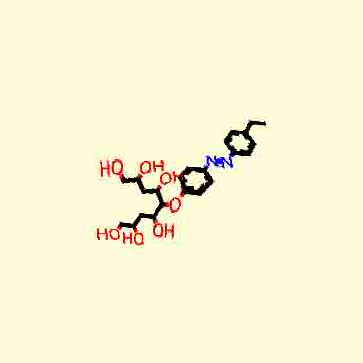 CCc1ccc(/N=N/c2ccc(OC(C(O)CC(O)CO)C(O)CC(O)CO)cc2)cc1